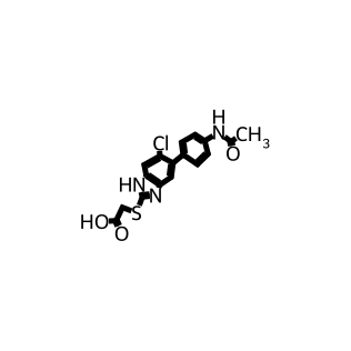 CC(=O)Nc1ccc(-c2cc3nc(SCC(=O)O)[nH]c3cc2Cl)cc1